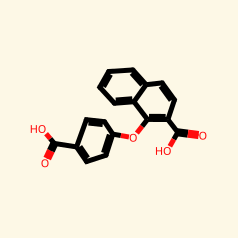 O=C(O)c1ccc(Oc2c(C(=O)O)ccc3ccccc23)cc1